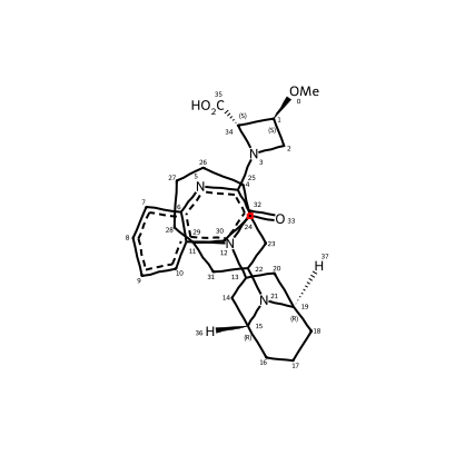 CO[C@H]1CN(c2nc3ccccc3n(C3C[C@H]4CCC[C@H](C3)N4C3CC4CCCCC(C4)C3)c2=O)[C@@H]1C(=O)O